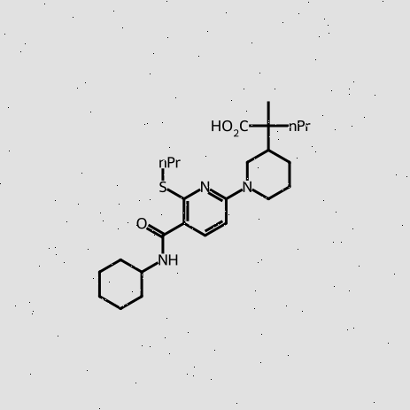 CCCSc1nc(N2CCCC(C(C)(CCC)C(=O)O)C2)ccc1C(=O)NC1CCCCC1